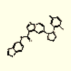 O=C(Nc1ccc2ocnc2c1)c1cnn2ccc(N3CCC[C@@H]3c3cc(F)ccc3F)cc12